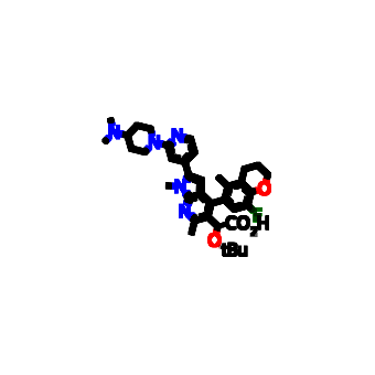 Cc1nc2c(cc(-c3ccnc(N4CCC(N(C)C)CC4)c3)n2C)c(-c2cc(F)c3c(c2C)CCCO3)c1[C@H](OC(C)(C)C)C(=O)O